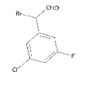 O=CC(Br)c1cc(F)cc(Cl)c1